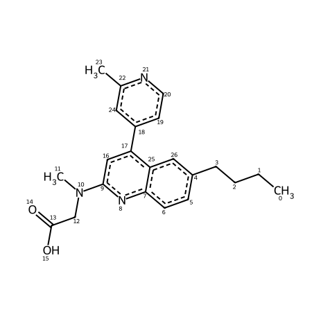 CCCCc1ccc2nc(N(C)CC(=O)O)cc(-c3ccnc(C)c3)c2c1